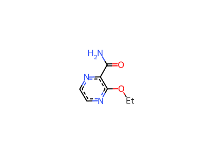 CCOc1nccnc1C(N)=O